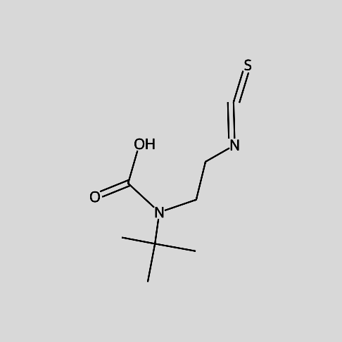 CC(C)(C)N(CCN=C=S)C(=O)O